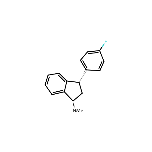 CN[C@H]1C[C@@H](c2ccc(F)cc2)c2ccccc21